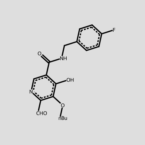 CCCCOc1c(C=O)ncc(C(=O)NCc2ccc(F)cc2)c1O